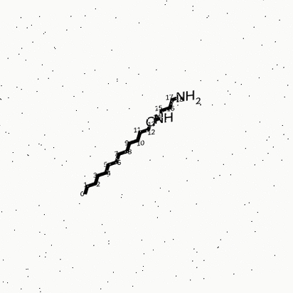 CCCCCCCCCCCCCONCCCN